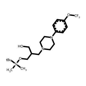 CC(C)(C)[Si](C)(C)OCC(CO)CN1CCN(c2ccc(OC(F)(F)F)cc2)CC1